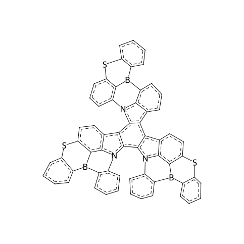 c1ccc2c(c1)Sc1cccc3c1B2c1cccc2c4c5c6ccc7c8c6n(c5c5c(c6ccc9c%10c6n5-c5ccccc5B%10c5ccccc5S9)c4n-3c12)-c1ccccc1B8c1ccccc1S7